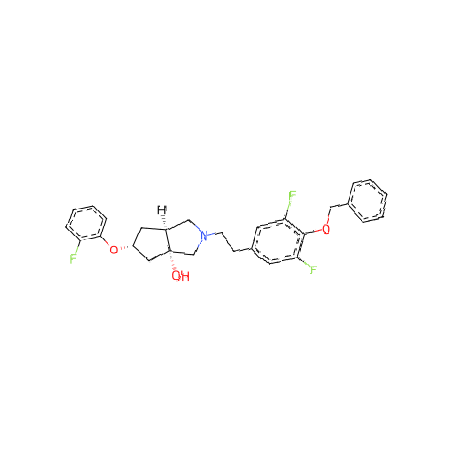 O[C@]12C[C@H](Oc3ccccc3F)C[C@H]1CN(CCc1cc(F)c(OCc3ccccc3)c(F)c1)C2